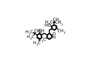 Cc1cc(Cc2c(C)ccc(O)c2Cc2cc(C)cc(C(C)(C)C)c2O)c(O)c(C(C)(C)C)c1